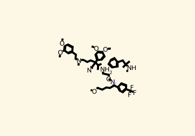 CNC(C)(C)Cc1ccccc1.COCCCC/C(=N\OCCN)c1ccc(C(F)(F)F)cc1.COc1ccc(CCN(C)CCCC(C#N)(c2ccc(OC)c(OC)c2)C(C)C)cc1OC